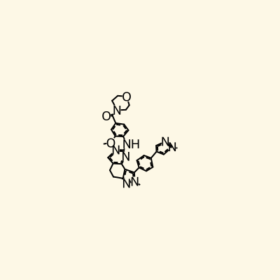 COc1cc(C(=O)N2CCOCC2)ccc1Nc1ncc2c(n1)-c1c(nn(C)c1-c1ccc(-c3cnn(C)c3)cc1)CC2